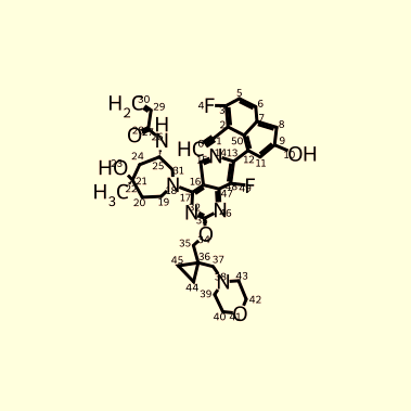 C#Cc1c(F)ccc2cc(O)cc(-c3ncc4c(N5CC[C@@](C)(O)C[C@H](NC(=O)C=C)C5)nc(OCC5(CN6CCOCC6)CC5)nc4c3F)c12